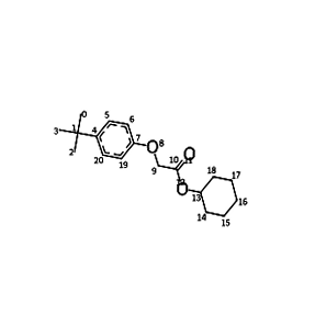 CC(C)(C)c1ccc(OCC(=O)OC2CCCCC2)cc1